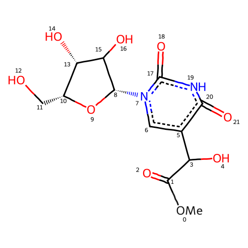 COC(=O)C(O)c1cn([C@@H]2O[C@H](CO)[C@H](O)C2O)c(=O)[nH]c1=O